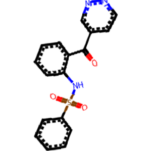 O=C(c1ccnnc1)c1ccccc1NS(=O)(=O)c1ccccc1